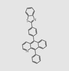 c1ccc(-c2c3ccccc3c(-c3ccc(-c4nc5ccccc5s4)cc3)c3cccnc23)cc1